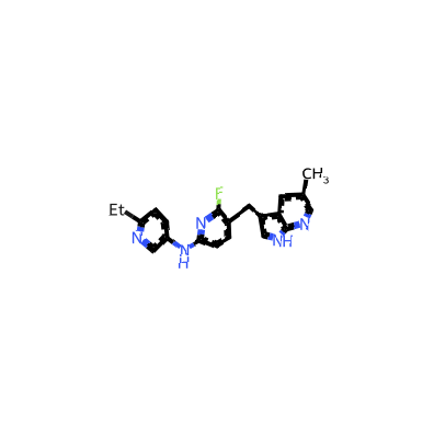 CCc1ccc(Nc2ccc(Cc3c[nH]c4ncc(C)cc34)c(F)n2)cn1